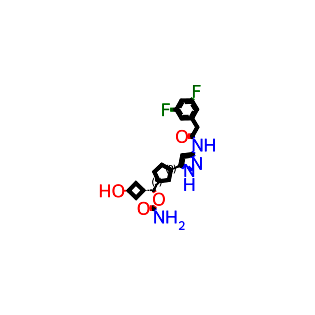 NC(=O)OC([C@H]1CC[C@@H](c2cc(NC(=O)Cc3cc(F)cc(F)c3)n[nH]2)C1)[C@H]1C[C@@H](O)C1